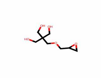 OCC(CO)(CO)COCC1CO1